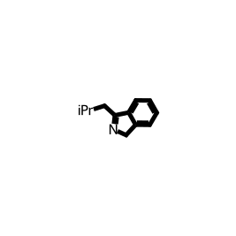 CC(C)CC1=NCc2ccccc21